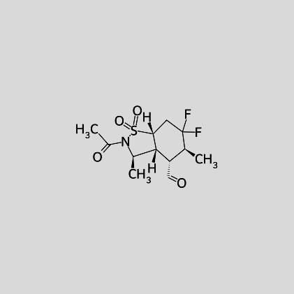 CC(=O)N1[C@H](C)[C@H]2[C@@H](C=O)[C@H](C)C(F)(F)C[C@H]2S1(=O)=O